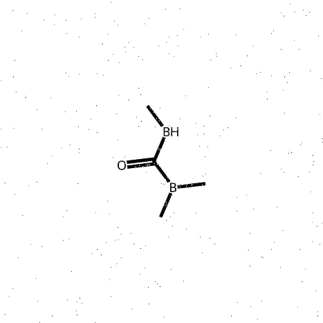 CBC(=O)B(C)C